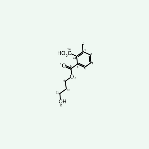 Cc1cccc(C(=O)OCCCO)c1C(=O)O